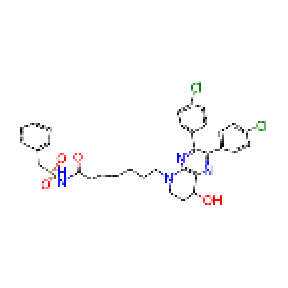 O=C(CCCCCCN1CCC(O)c2nc(-c3ccc(Cl)cc3)c(-c3ccc(Cl)cc3)nc21)NS(=O)(=O)Cc1ccccc1